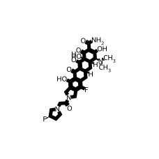 CN(C)[C@@H]1C(O)=C(C(N)=O)C(=O)[C@@]2(O)C(O)=C3C(=O)c4c(O)c5c(c(F)c4C[C@H]3C[C@@H]12)CN(C(=O)CN1CC[C@H](F)C1)C5